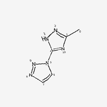 Cc1n[nH]c(-n2c[c]nn2)n1